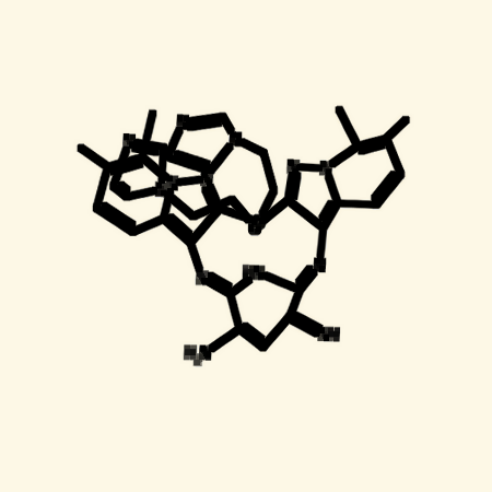 Cc1ccc2c(/N=C3\N/C(=N\c4c(OCCn5ccnc5)nn5c(C)c(C)ccc45)C(N)=CC3=N)c(OCCn3ccnc3)nn2c1C